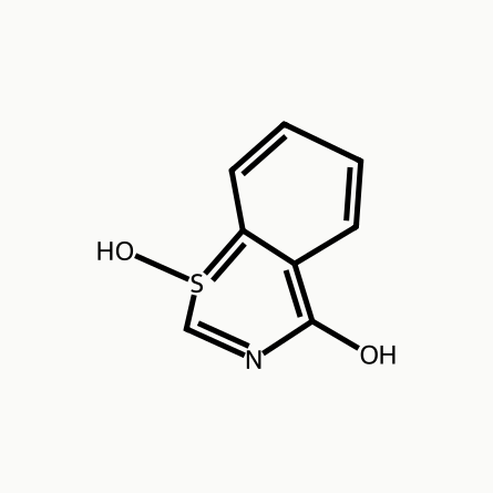 OC1=c2ccccc2=S(O)C=N1